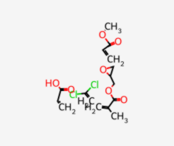 C=C(C)C(=O)OCC1CO1.C=C(Cl)Cl.C=CC(=O)O.C=CC(=O)OC